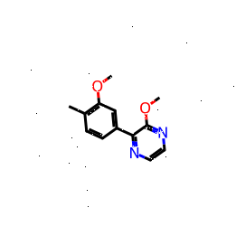 COc1cc(-c2nccnc2OC)ccc1C